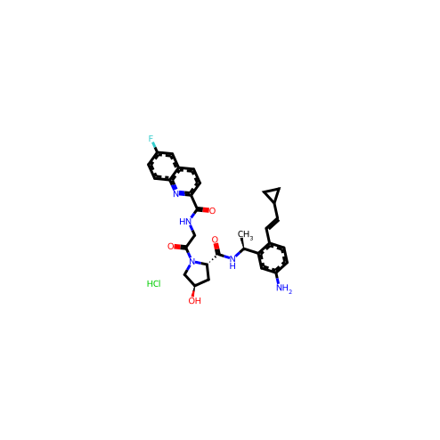 C[C@H](NC(=O)[C@@H]1C[C@@H](O)CN1C(=O)CNC(=O)c1ccc2cc(F)ccc2n1)c1cc(N)ccc1/C=C/C1CC1.Cl